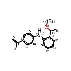 C=C(C)c1ccc([SiH2]c2ccccc2C(C)OC(C)(C)C)cc1